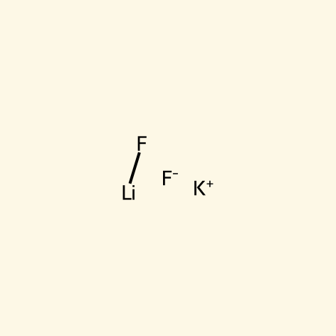 [F-].[K+].[Li][F]